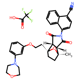 C[C@]12CC[C@](CCOc3cccc(N4CCOCC4)c3)(O1)[C@@H]1C(=O)N(c3ccc(C#N)c4ccccc34)C(=O)[C@@H]12.O=C(O)C(F)(F)F